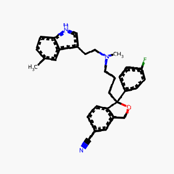 Cc1ccc2[nH]cc(CCN(C)CCCC3(c4ccc(F)cc4)OCc4cc(C#N)ccc43)c2c1